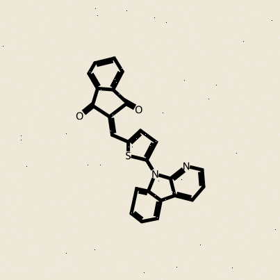 O=C1C(=Cc2ccc(-n3c4ccccc4c4cccnc43)s2)C(=O)c2ccccc21